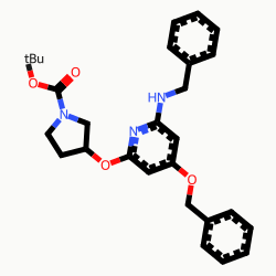 CC(C)(C)OC(=O)N1CCC(Oc2cc(OCc3ccccc3)cc(NCc3ccccc3)n2)C1